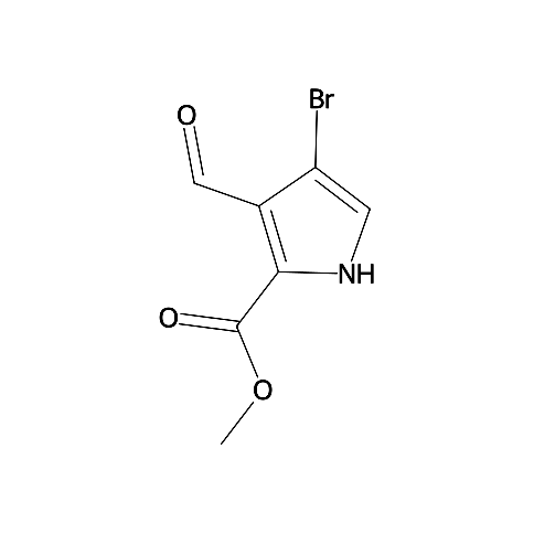 COC(=O)c1[nH]cc(Br)c1C=O